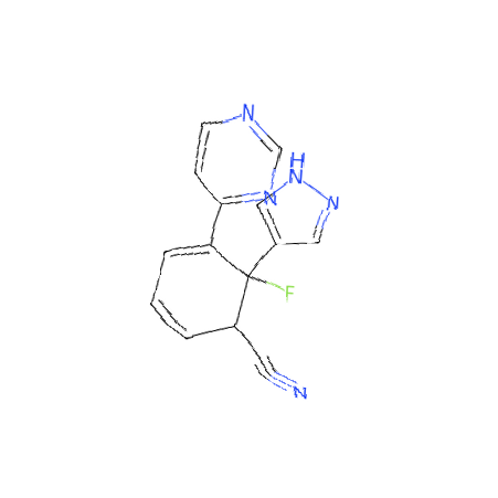 N#CC1C=CC=C(c2ccncn2)C1(F)c1cn[nH]c1